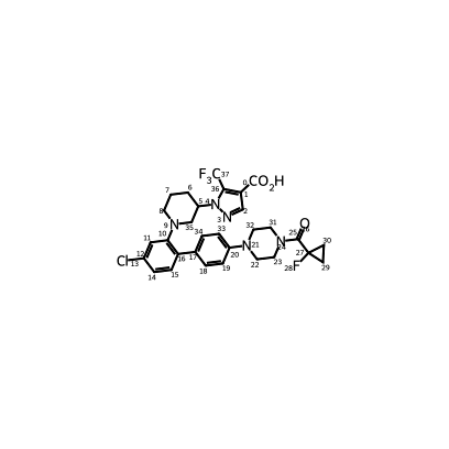 O=C(O)c1cnn(C2CCCN(c3cc(Cl)ccc3-c3ccc(N4CCN(C(=O)C5(F)CC5)CC4)cc3)C2)c1C(F)(F)F